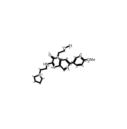 CCOCCn1c(=O)c(NCCN2CCCC2)nc2cnc(-c3ccc(OC)nc3)cc21